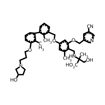 Cc1cc(OCc2cccc(-c3cccc(OCCCN4CCC(O)C4)c3C)c2C)cc(OCc2cncc(C#N)c2)c1CNC(C)(CO)C(=O)O